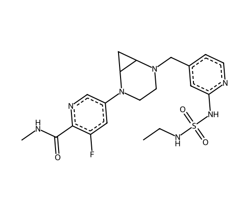 CCNS(=O)(=O)Nc1cc(CN2CCN(c3cnc(C(=O)NC)c(F)c3)C3CC32)ccn1